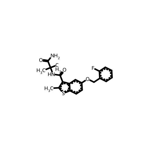 Cc1sc2ccc(OCc3ccccc3F)cc2c1C(=O)NC(C)(C)C(N)=O